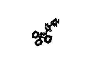 c1ccc(C(NCc2cnc(-n3ccnn3)s2)(c2ccccc2)c2ccccc2)cc1